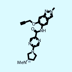 C#CCOc1cc2nn(C)cc2cc1NC(=O)c1cnc(N2CC[C@H](NC)C2)cn1